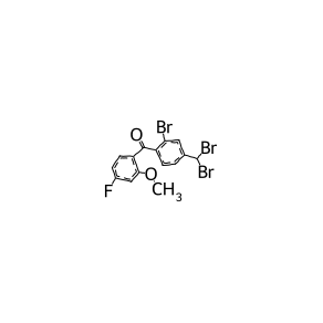 COc1cc(F)ccc1C(=O)c1ccc(C(Br)Br)cc1Br